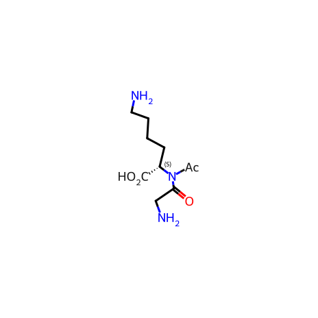 CC(=O)N(C(=O)CN)[C@@H](CCCCN)C(=O)O